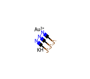 N#C[S-].N#C[S-].N#C[S-].[Au+3].[KH]